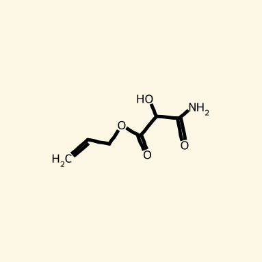 C=CCOC(=O)C(O)C(N)=O